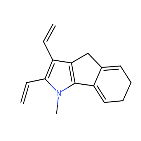 C=Cc1c2c(n(C)c1C=C)C1=CCCC=C1C2